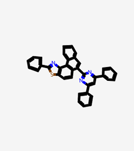 c1ccc(-c2cc(-c3ccccc3)nc(-c3cc4ccccc4c4c3ccc3sc(-c5ccccc5)nc34)n2)cc1